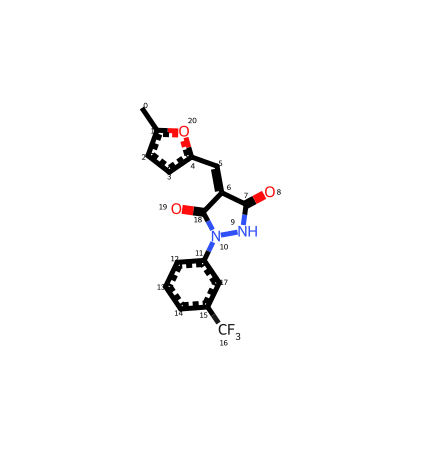 Cc1ccc(/C=C2/C(=O)NN(c3cccc(C(F)(F)F)c3)C2=O)o1